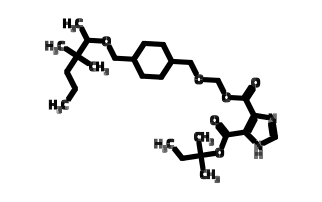 CCCC(C)(C)C(C)OCC1CCC(COCOC(=O)c2nc[nH]c2C(=O)OC(C)(C)CC)CC1